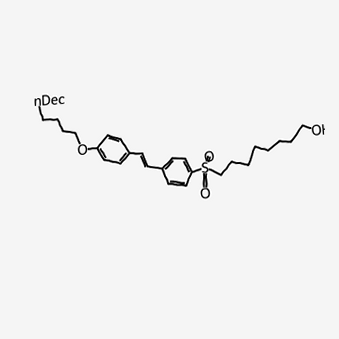 CCCCCCCCCCCCCCOc1ccc(C=Cc2ccc(S(=O)(=O)CCCCCCCCO)cc2)cc1